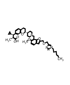 CCCCCCn1cc(COCc2cc3ccc(OC)c(CN4CCC([C@H]5CCc6ccc([C@H](C7CC7)[C@H](C)C(=O)O)cc6O5)CC4)c3o2)nn1